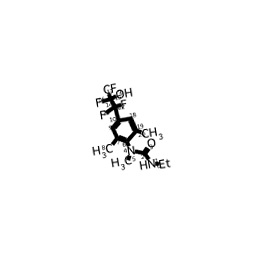 CCNC(=O)N(C)c1c(C)cc(C(F)(F)C(O)(F)C(F)(F)F)cc1C